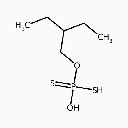 CCC(CC)COP(O)(=S)S